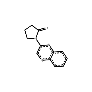 O=C1CCCN1c1cnc2ccccc2n1